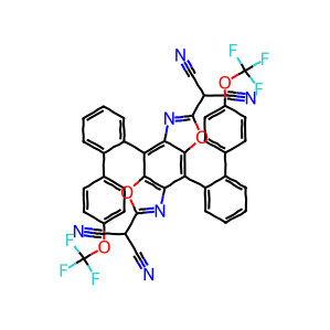 N#CC(C#N)c1nc2c(-c3ccccc3-c3ccc(OC(F)(F)F)cc3)c3oc(C(C#N)C#N)nc3c(-c3ccccc3-c3ccc(OC(F)(F)F)cc3)c2o1